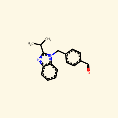 CC(C)c1nc2ccccc2n1Cc1ccc(C=O)cc1